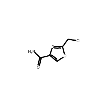 NC(=O)c1coc(CCl)n1